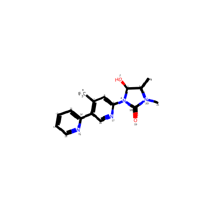 CC1C(O)N(c2cc(C(F)(F)F)c(-c3ccccn3)cn2)C(=O)N1C